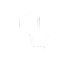 Sc1ncc2cccsc1-2